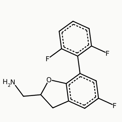 NCC1Cc2cc(F)cc(-c3c(F)cccc3F)c2O1